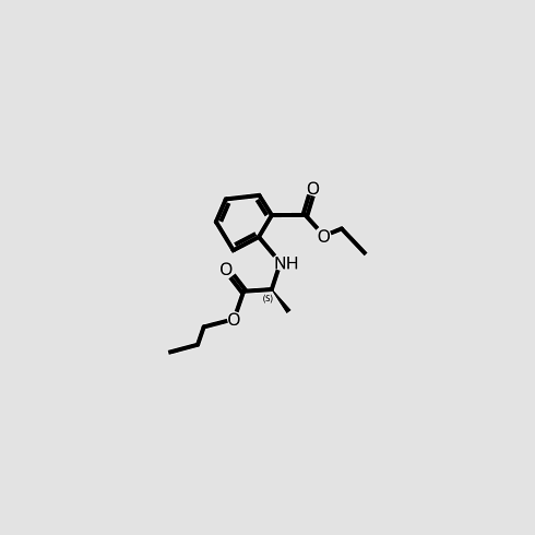 CCCOC(=O)[C@H](C)Nc1ccccc1C(=O)OCC